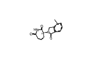 Cc1cccc2c1CN([C@H]1CCCC(=O)NC1=O)C2=O